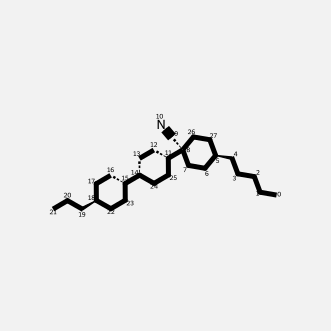 CCCCC[C@H]1CC[C@@](C#N)([C@H]2CC[C@@H]([C@H]3CC[C@H](CCC)CC3)CC2)CC1